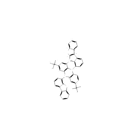 CC(C)(C)c1ccc2c(c1)N(c1cccc3c1oc1ccccc13)c1cc(C(C)(C)C)cc3c1B2c1cccc2c4c5ccccc5sc4n-3c12